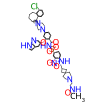 CC(=O)NCCN1CCC2(CC1)CC(CNc1ccc(S(=O)(=O)NC(=O)c3ccc(N4CCN([C@@H]5CCCCc6c(Cl)cccc65)CC4)cc3Oc3cnc4[nH]ccc4c3)cc1[N+](=O)[O-])C2